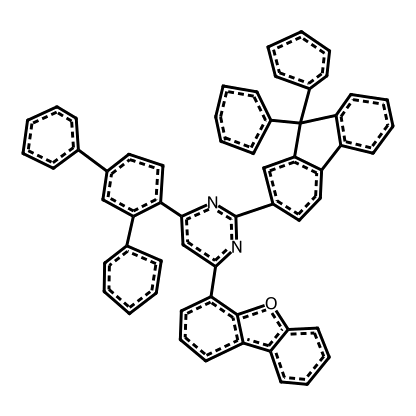 c1ccc(-c2ccc(-c3cc(-c4cccc5c4oc4ccccc45)nc(-c4ccc5c(c4)C(c4ccccc4)(c4ccccc4)c4ccccc4-5)n3)c(-c3ccccc3)c2)cc1